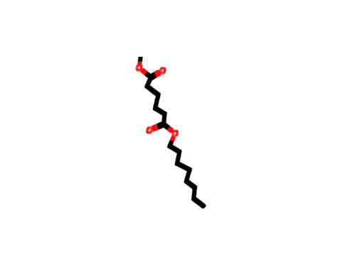 CCCCCCCCOC(=O)CCCCC(=O)OC